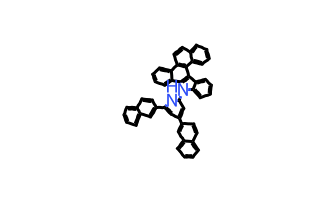 C1=C(c2ccc3ccccc3c2)C=C(c2ccc3ccccc3c2)NC1n1c2ccccc2c2c3c4ccccc4ccc3c3ccccc3c21